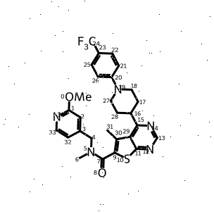 COc1cc(CN(C)C(=O)c2sc3ncnc(C4CCN(c5ccc(C(F)(F)F)cc5)CC4)c3c2C)ccn1